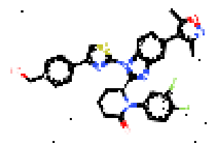 Cc1noc(C)c1-c1ccc2c(c1)nc([C@@H]1CCCC(=O)N1c1ccc(F)c(F)c1)n2-c1nc(-c2ccc(CO)cc2)cs1